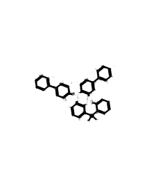 CC1(C)c2ccccc2N2c3cc(-c4ccccc4)ccc3N(c3ccc(-c4ccccc4)cc3)c3cccc1c32